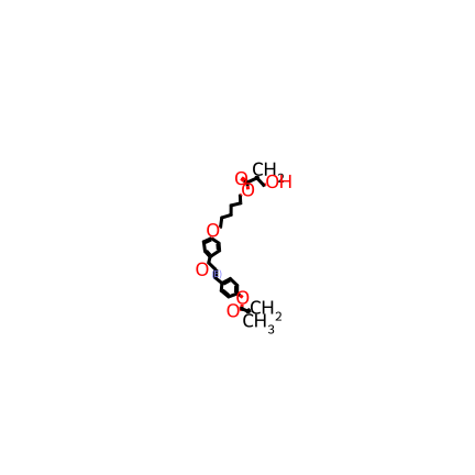 C=C(C)C(=O)Oc1ccc(/C=C/C(=O)c2ccc(OCCCCCCOC(=O)C(=C)CO)cc2)cc1